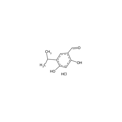 CC(C)c1cc(C=O)c(O)cc1O.Cl